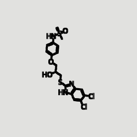 C=S(C)(=O)Nc1ccc(OC[C@H](O)CSc2nc3cc(Cl)c(Cl)cc3[nH]2)cc1